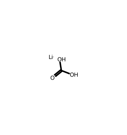 O=C(O)O.[Li]